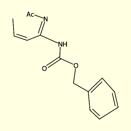 C/C=C\C(=N/C(C)=O)NC(=O)OCc1ccccc1